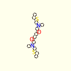 c1ccc(N(c2ccc3c(c2)oc2cc4cc5c(cc4cc23)oc2cc(N(c3ccccc3)c3ccc4c(c3)sc3c6ccccc6ccc43)ccc25)c2ccc3c(c2)sc2c4ccccc4ccc32)cc1